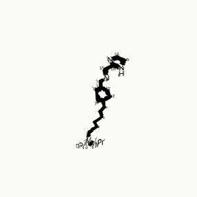 CCCN(CCC)CCCC[CH]Cc1ccc(C/N=C/c2ncc[nH]2)cc1